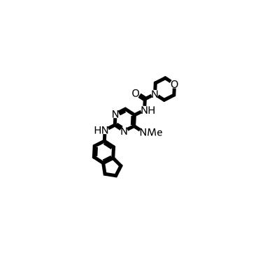 CNc1nc(Nc2ccc3c(c2)CCC3)ncc1NC(=O)N1CCOCC1